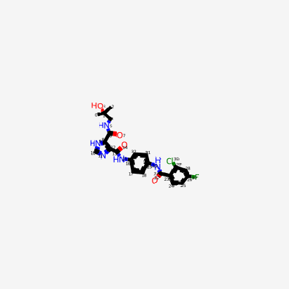 CC(C)(O)CNC(=O)c1[nH]cnc1C(=O)Nc1ccc(NC(=O)c2ccc(F)cc2Cl)cc1